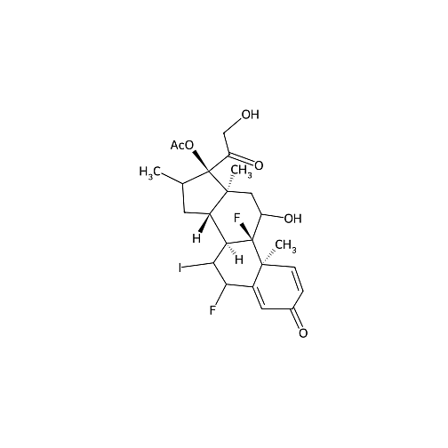 CC(=O)O[C@]1(C(=O)CO)C(C)C[C@H]2[C@@H]3C(I)C(F)C4=CC(=O)C=C[C@]4(C)[C@@]3(F)C(O)C[C@@]21C